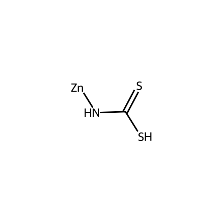 S=C(S)[NH][Zn]